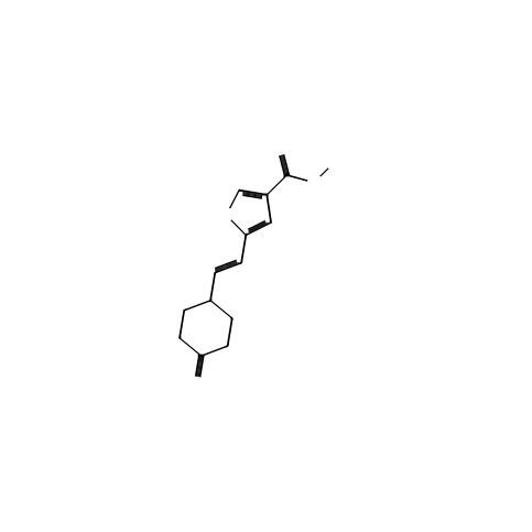 COC(=O)c1csc(C=CC2CCC(=O)CC2)c1